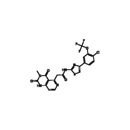 Cn1c(=O)[nH]c2ccnc(CC(=O)Nc3nc(-c4ccc(Cl)c(OC(F)(F)F)c4)cs3)c2c1=O